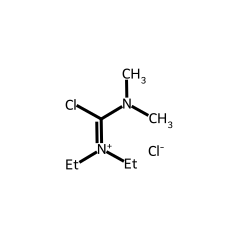 CC[N+](CC)=C(Cl)N(C)C.[Cl-]